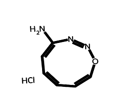 Cl.Nc1ccccconn1